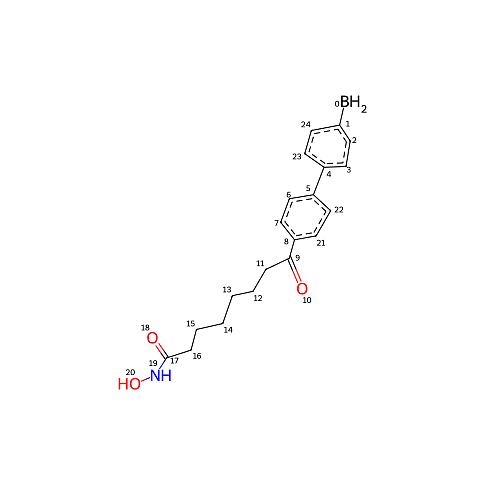 Bc1ccc(-c2ccc(C(=O)CCCCCCC(=O)NO)cc2)cc1